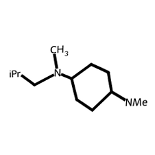 CNC1CCC(N(C)CC(C)C)CC1